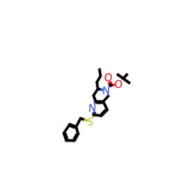 CCCC1Cc2nc(SCc3ccccc3)ccc2CN1C(=O)OC(C)(C)C